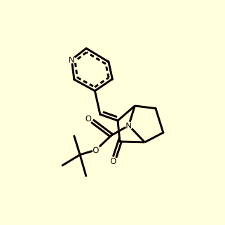 CC(C)(C)OC(=O)N1C2CCC1C(=Cc1cccnc1)C2=O